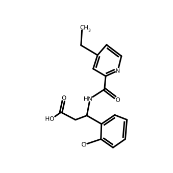 CCc1ccnc(C(=O)NC(CC(=O)O)c2ccccc2Cl)c1